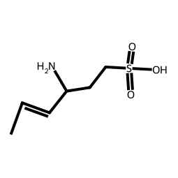 CC=CC(N)CCS(=O)(=O)O